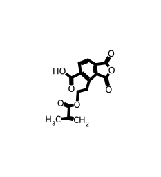 C=C(C)C(=O)OCCc1c(C(=O)O)ccc2c1C(=O)OC2=O